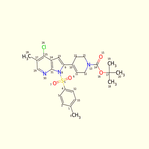 Cc1ccc(S(=O)(=O)n2c(C3=CCN(C(=O)OC(C)(C)C)CC3)cc3c(Cl)c(C)cnc32)cc1